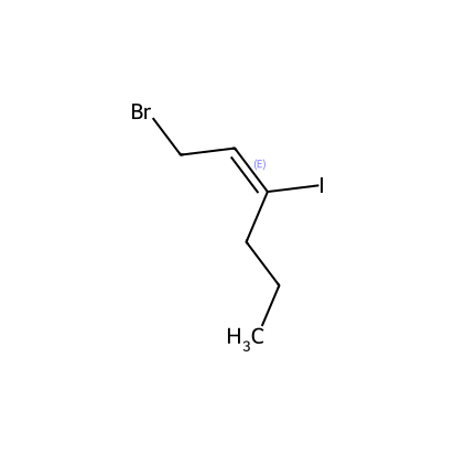 CCC/C(I)=C\CBr